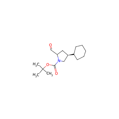 CC(C)(C)OC(=O)N1C[C@H](C2CCCCC2)CC1C=O